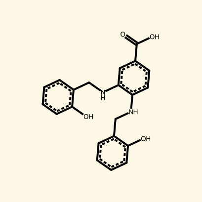 O=C(O)c1ccc(NCc2ccccc2O)c(NCc2ccccc2O)c1